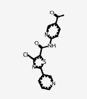 CC(=O)c1ccc(NC(=O)c2sc(-c3cccnc3)nc2Cl)nc1